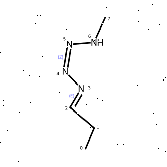 CC/C=N/N=N\NC